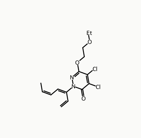 C=C/C(=C\C=C/C)n1nc(OCCOCC)c(Cl)c(Cl)c1=O